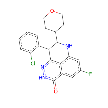 O=c1[nH]nc2c3c(cc(F)cc13)NC(C1CCOCC1)C2c1ccccc1Cl